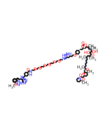 C=C[C@@H]1CCCCN1C(=O)C(=O)C1CCCC(C[C@H](OC)/C(C)=C/C=C/C=C/[C@@H](C)C[C@@H](C)C(=O)[C@H](O)[C@H](O)/C(C)=C/[C@@H](C)C(=O)C[C@@H](CC[C@H]2CC[C@H](OCCCC/C(=C/NCCOCCOCCOCCOCCOCCOCCNC(=O)C3CCC(c4nc(-c5cc6cccc(OC)c6[nH]5)c5c(N)ncnn45)CC3)N=N)CC2)OC=O)O1